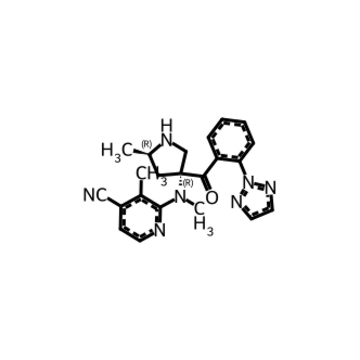 Cc1c(C#N)ccnc1N(C)[C@@]1(C(=O)c2ccccc2-n2nccn2)CN[C@H](C)C1